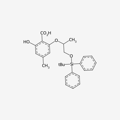 Cc1cc(O)c(C(=O)O)c(OC(C)CO[Si](c2ccccc2)(c2ccccc2)C(C)(C)C)c1